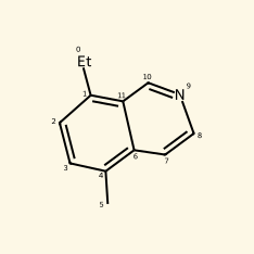 CCc1ccc(C)c2ccncc12